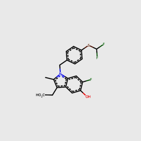 Cc1c(CC(=O)O)c2cc(O)c(F)cc2n1Cc1ccc(SC(F)F)cc1